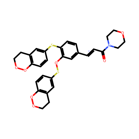 O=C(/C=C/c1ccc(Sc2ccc3c(c2)CCOO3)c(OSc2ccc3c(c2)CCOO3)c1)N1CCOCC1